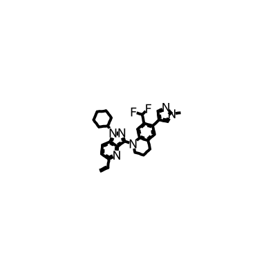 C=Cc1ccc2c(n1)c(N1CCCc3cc(-c4cnn(C)c4)c(C(F)F)cc31)nn2C1CCCCC1